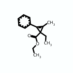 CCOC(=O)C1(CC)C(C)=C1c1ccccc1